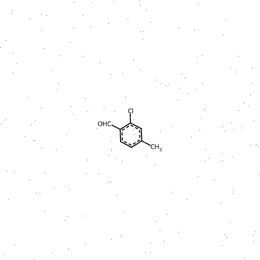 Cc1ccc(C=O)c(Cl)c1